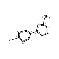 Nc1cccc(-c2ccc(I)cc2)c1